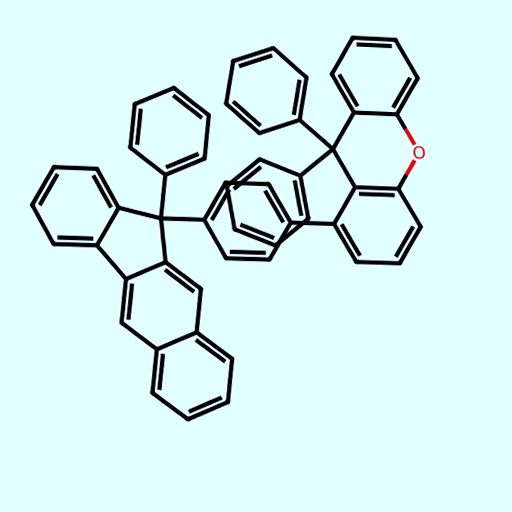 c1ccc(C2(c3ccc(-c4cccc5c4C(c4ccccc4)(c4ccccc4)c4ccccc4O5)cc3)c3ccccc3-c3cc4ccccc4cc32)cc1